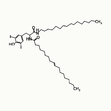 CCCCCCCC/C=C/CCCCCCCC(=O)NC(Cc1cc(I)c(O)c(I)c1)C(=O)NCCCCCCCCCCCCCCCC